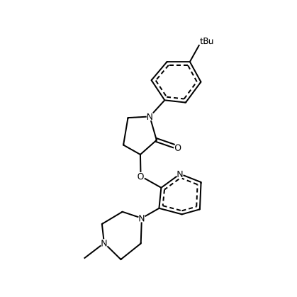 CN1CCN(c2cccnc2OC2CCN(c3ccc(C(C)(C)C)cc3)C2=O)CC1